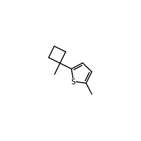 Cc1ccc(C2(C)CCC2)s1